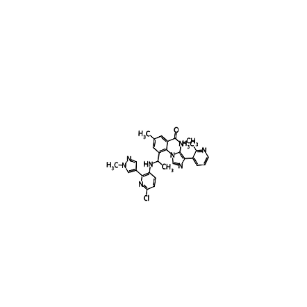 Cc1cc(C(C)Nc2ccc(Cl)nc2-c2cnn(C)c2)c2c(c1)c(=O)n(C)c1c(-c3cccnc3C)ncn21